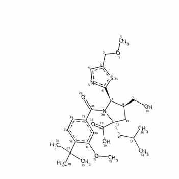 COCc1cnc([C@H]2[C@@H](CO)C[C@@](CC(C)C)(C(=O)O)N2C(=O)c2ccc(C(C)(C)C)c(OC)c2)s1